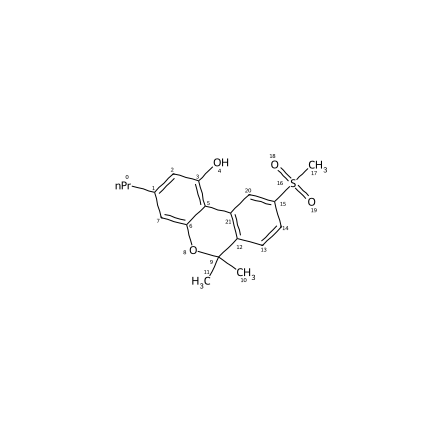 CCCc1cc(O)c2c(c1)OC(C)(C)c1ccc(S(C)(=O)=O)cc1-2